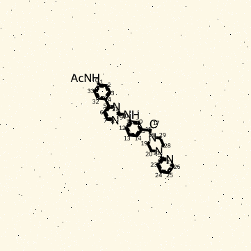 CC(=O)Nc1ccc(-c2ccnc(Nc3cccc(C(=O)N4CCN(c5ccccn5)CC4)c3)n2)cc1